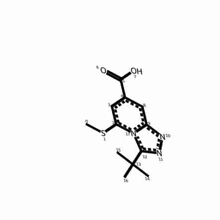 CSc1cc(C(=O)O)cc2nnc(C(C)(C)C)n12